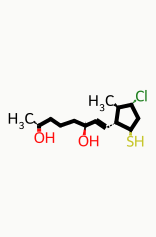 C[C@@H]1[C@@H](/C=C/[C@@H](O)CCC[C@@H](C)O)[C@H](S)C[C@H]1Cl